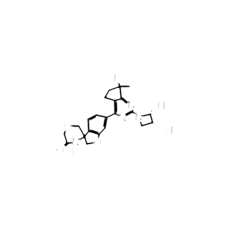 C[C@H]1[C@H](O)CN1c1nc(-c2ccc3c(c2)OCC32COCC(=O)N2)c2c(n1)C(F)(F)CC2